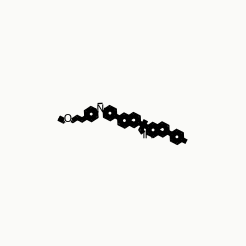 C=COCCCc1ccc(N(C)c2ccc(-c3ccc4cc(C(C)(CC(C)C)c5ccc6cc(-c7ccc(C)cc7)ccc6c5)ccc4c3)cc2)cc1